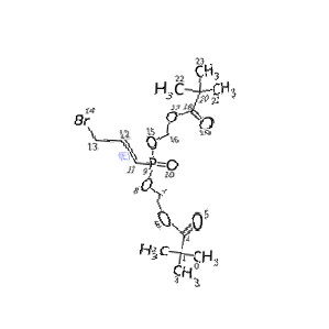 CC(C)(C)C(=O)OCOP(=O)(/C=C/CBr)OCOC(=O)C(C)(C)C